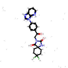 O=C(CN1C(=O)NC2(CCC(F)(F)CC2)C1=O)c1ccc(-n2cnc3cccnc32)cc1